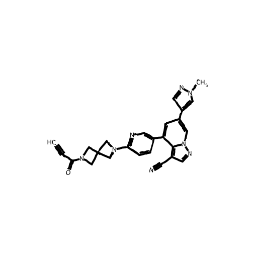 C#CC(=O)N1CC2(C1)CN(c1ccc(-c3cc(-c4cnn(C)c4)cn4ncc(C#N)c34)cn1)C2